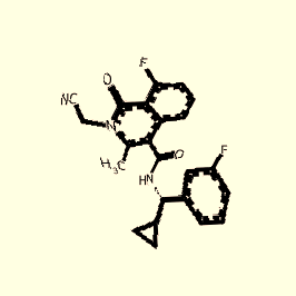 Cc1c(C(=O)N[C@H](c2cccc(F)c2)C2CC2)c2cccc(F)c2c(=O)n1CC#N